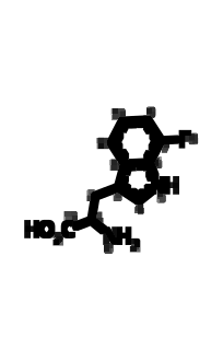 NC(Cc1c[nH]c2c(F)cccc12)C(=O)O